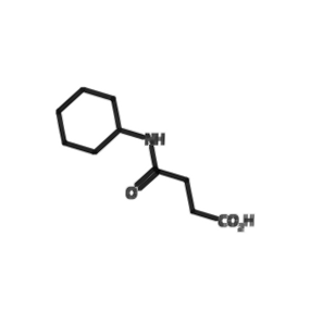 O=C(O)CCC(=O)NC1CCCCC1